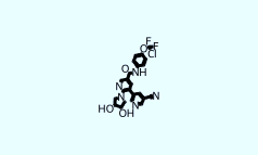 N#Cc1cncc(-c2cc(C(=O)Nc3ccc(OC(F)(F)Cl)cc3)cnc2N2CC(O)C(O)C2)c1